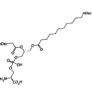 CCCCCCCCCCCCCCCCCCCCC(=O)OC[C@H](COP(=O)(O)OC[C@H](N)C(=O)O)OC(=O)CCCCCCCCCCC